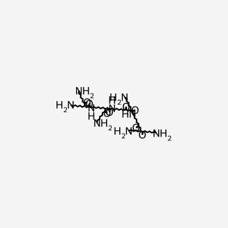 NCCCCCC(=O)C(CCCCN)CC(=O)CCCCCNC(=O)C(CCCCCN)CC(=O)CCCCCNC(=O)CC(CCCCCNC(=O)CC(CCCCCN)C(=O)CCCCCN)C(=O)CCCCCN